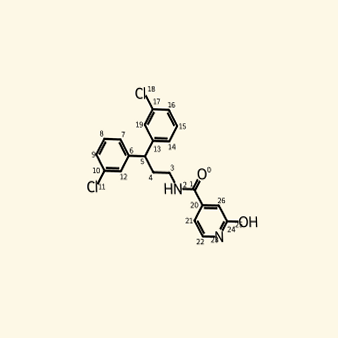 O=C(NCCC(c1cccc(Cl)c1)c1cccc(Cl)c1)c1ccnc(O)c1